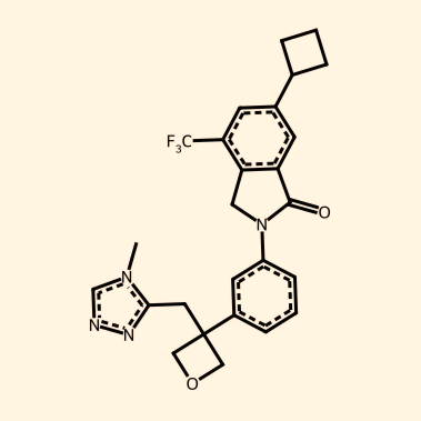 Cn1cnnc1CC1(c2cccc(N3Cc4c(cc(C5CCC5)cc4C(F)(F)F)C3=O)c2)COC1